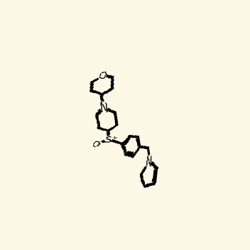 [O-][S+](c1ccc(CN2C=CCC2)cc1)C1CCN(C2CCOCC2)CC1